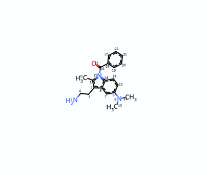 Cc1c(CCN)c2cc(N(C)C)ccc2n1C(=O)c1ccccc1